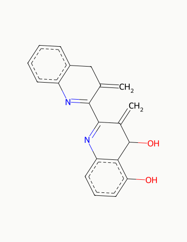 C=C1Cc2ccccc2N=C1C1=Nc2cccc(O)c2C(O)C1=C